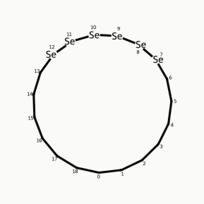 C1CCCCCC[Se][Se][Se][Se][Se][Se]CCCCCC1